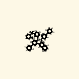 CC1(C)c2ccccc2N2c3cc(-c4ccccc4)cc4c3B(c3cccc1c32)N(c1ccc(-c2ccccc2)cc1)c1cc2ccccc2cc1-4